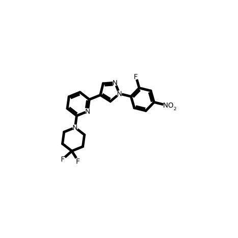 O=[N+]([O-])c1ccc(-n2cc(-c3cccc(N4CCC(F)(F)CC4)n3)cn2)c(F)c1